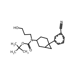 CC(C)(C)OC(=O)N(CCCO)C1CCC2(c3cccc(C#N)c3)CC2C1